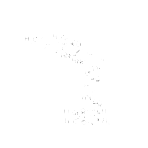 CCCCCC(NC(=O)NC1CCCCC1OC(=O)CCNC(=O)C1OC(C)(C)OCC1(C)C)C(C)C